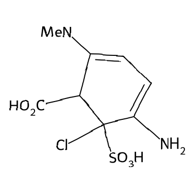 CNC1=CC=C(N)C(Cl)(S(=O)(=O)O)C1C(=O)O